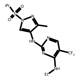 CCNc1nc(Nc2cn(S(=O)(=O)C(C)C)nc2C)ncc1C(F)(F)F